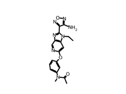 CCn1c(-c2nonc2N)nc2cnc(Oc3cccc(N(C)C(C)=O)c3)cc21